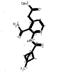 NC(=O)c1c(CC(=O)C=O)ccnc1NC(=O)C12CC(C(F)(F)F)(C1)C2